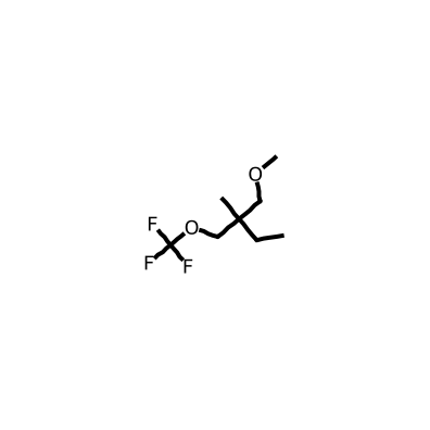 CCC(C)(COC)COC(F)(F)F